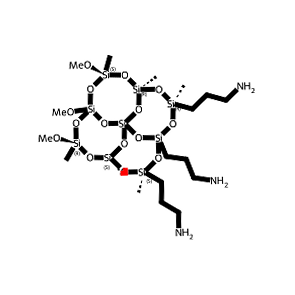 CO[Si]12O[Si]34O[Si](CCCN)(O[Si@](C)(CCCN)O[Si@@](C)(O3)O[Si@](C)(OC)O1)O[Si@@](C)(CCCN)O[Si@](C)(O4)O[Si@@](C)(OC)O2